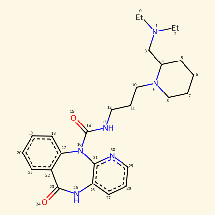 CCN(CC)CC1CCCCN1CCCNC(=O)N1c2ccccc2C(=O)Nc2cccnc21